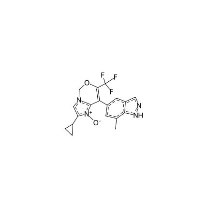 Cc1cc(C2=C(C(F)(F)F)OCn3cc(C4CC4)[n+]([O-])c32)cc2cn[nH]c12